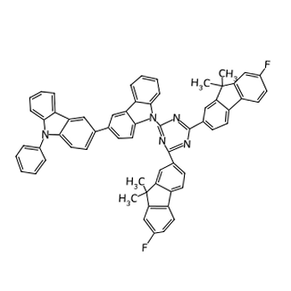 CC1(C)c2cc(F)ccc2-c2ccc(-c3nc(-c4ccc5c(c4)C(C)(C)c4cc(F)ccc4-5)nc(-n4c5ccccc5c5cc(-c6ccc7c(c6)c6ccccc6n7-c6ccccc6)ccc54)n3)cc21